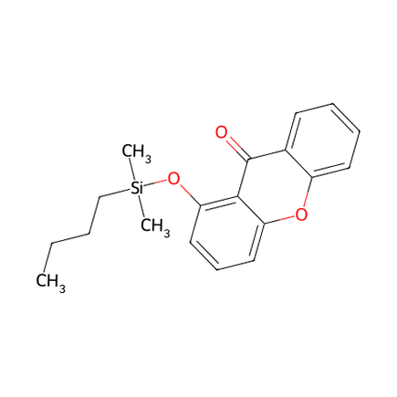 CCCC[Si](C)(C)Oc1cccc2oc3ccccc3c(=O)c12